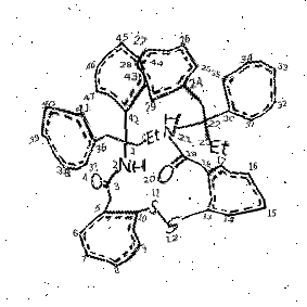 CCC(NC(=O)c1ccccc1SSc1ccccc1C(=O)NC(CC)(c1ccccc1)c1ccccc1)(c1ccccc1)c1ccccc1